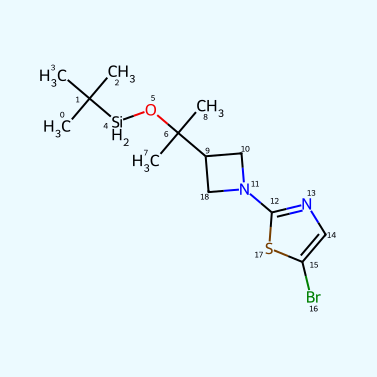 CC(C)(C)[SiH2]OC(C)(C)C1CN(c2ncc(Br)s2)C1